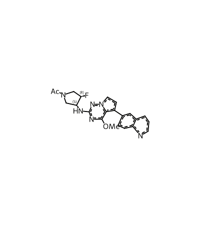 COc1nc(N[C@H]2CN(C(C)=O)C[C@H]2F)nn2ccc(-c3ccc4ncccc4c3)c12